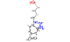 O=Cc1ccc2c(c1)nnn2CCCCO